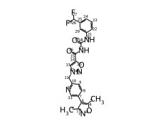 Cc1noc(C)c1-c1ccc(C[n+]2cc(C(=O)NC(=O)Nc3cccc(C(F)F)c3)on2)nc1